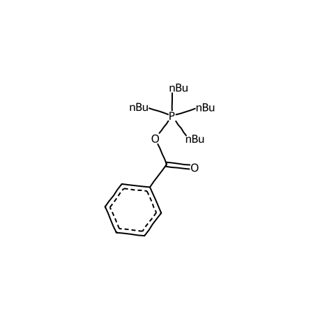 CCCCP(CCCC)(CCCC)(CCCC)OC(=O)c1ccccc1